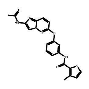 CC(=O)Nc1cn2nc(Oc3cccc(NC(=O)c4sccc4C)c3)ccc2n1